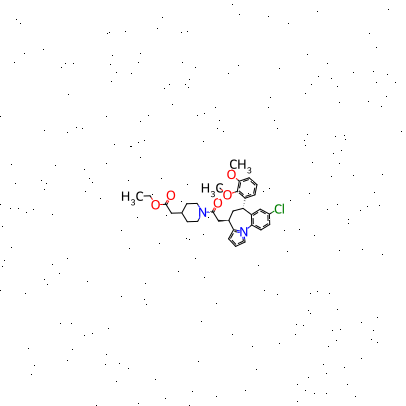 CCOC(=O)CC1CCN(C(=O)C[C@H]2C[C@H](c3cccc(OC)c3OC)c3cc(Cl)ccc3-n3cccc32)CC1